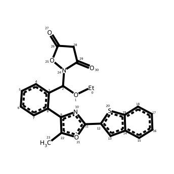 CCOC(c1ccccc1-c1nc(-c2cc3ccccc3s2)oc1C)N1OC(=O)CC1=O